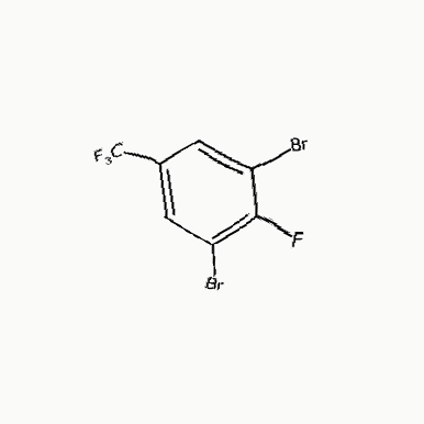 Fc1c(Br)cc(C(F)(F)F)cc1Br